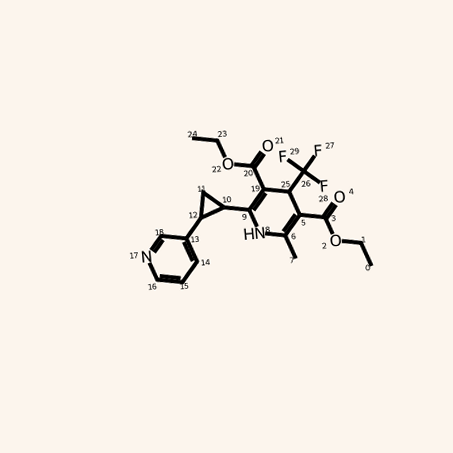 CCOC(=O)C1=C(C)NC(C2CC2c2cccnc2)=C(C(=O)OCC)C1C(F)(F)F